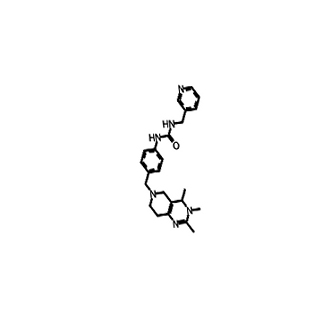 CC1=NC2=C(CN(Cc3ccc(NC(=O)NCc4cccnc4)cc3)CC2)C(C)N1C